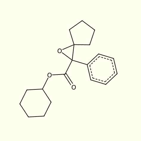 O=C(OC1CCCCC1)C1(c2ccccc2)OC12CCCC2